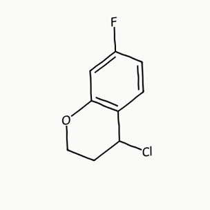 Fc1ccc2c(c1)OCCC2Cl